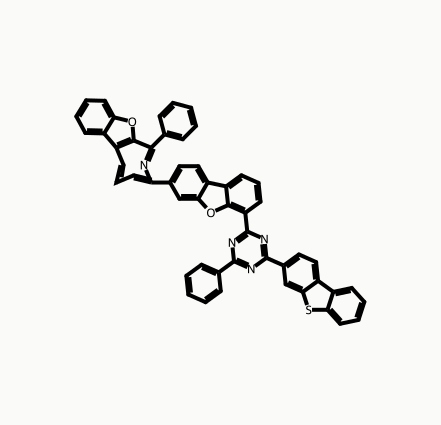 C1=C/c2c(oc3ccccc23)/C(c2ccccc2)=N/C(c2ccc3c(c2)oc2c(-c4nc(-c5ccccc5)nc(-c5ccc6c(c5)sc5ccccc56)n4)cccc23)=C/1